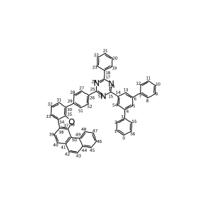 c1ccc(-c2cc(-c3ccccc3)cc(-c3nc(-c4ccccc4)nc(-c4ccc(-c5cccc6c5oc5c6ccc6ccc7ccccc7c65)cc4)n3)c2)cc1